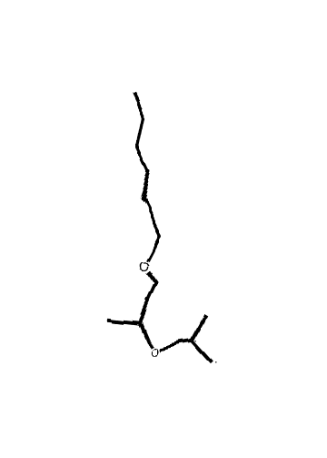 [CH2][C](C)OC(C)COCCCCCC